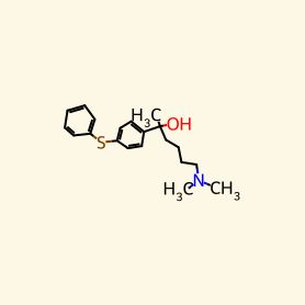 CN(C)CCCCC(C)(O)c1ccc(Sc2ccccc2)cc1